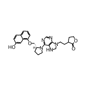 O=C1OCCC1CCN1CNc2c1ncnc2N1CCC[C@@H]1COc1cccc2ccc(O)cc12